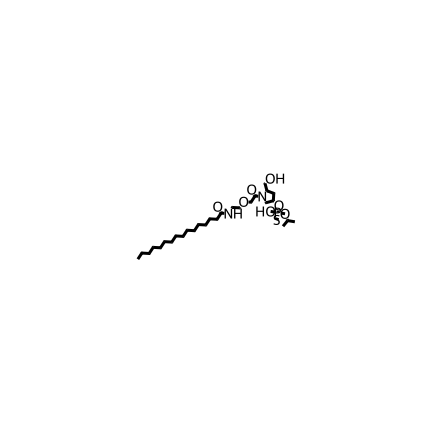 CCCCCCCCCCCCCCCC(=O)NCCOCC(=O)N1CC(OP(O)(=S)OC(C)C)CC1CO